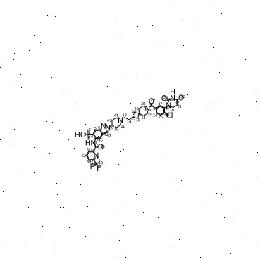 CC(C)(O)c1cc2nn(C3CCN(CCC4CC5(CCN(C(=O)c6ccc(Cl)c(N7CCC(=O)NC7=O)c6)CC5)C4)CC3)cc2cc1NC(=O)c1cccc(C(F)(F)F)n1